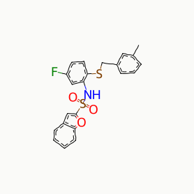 Cc1cccc(CSc2ccc(F)cc2NS(=O)(=O)c2cc3ccccc3o2)c1